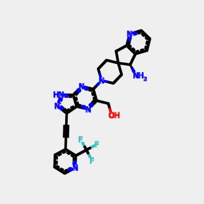 N[C@@H]1c2cccnc2CC12CCN(c1nc3[nH]nc(C#Cc4cccnc4C(F)(F)F)c3nc1CO)CC2